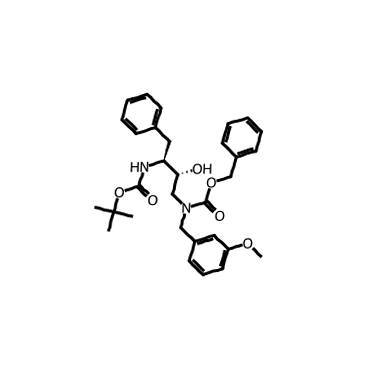 COc1cccc(CN(C[C@@H](O)[C@H](Cc2ccccc2)NC(=O)OC(C)(C)C)C(=O)OCc2ccccc2)c1